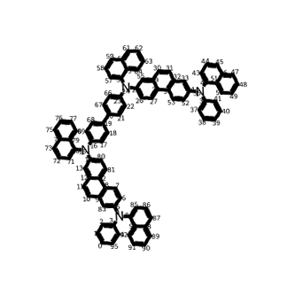 c1ccc(N(c2ccc3c(ccc4cc(N(c5ccc(-c6ccc(N(c7ccc8c(ccc9cc(N(c%10ccccc%10)c%10cccc%11ccccc%10%11)ccc98)c7)c7cccc8ccccc78)cc6)cc5)c5cccc6ccccc56)ccc43)c2)c2cccc3ccccc23)cc1